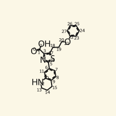 O=C(O)c1nc(-c2ccc3c(c2)NCCC3)sc1CCCOc1ccccc1